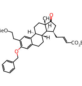 CCOC(=O)/C=C/C[C@@H]1CC(=O)[C@@]2(C)CC[C@@H]3c4cc(CCOC)c(OCc5ccccc5)cc4CC[C@H]3[C@H]12